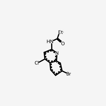 C[CH]C(=O)Nc1cc(Cl)c2ccc(Br)cc2n1